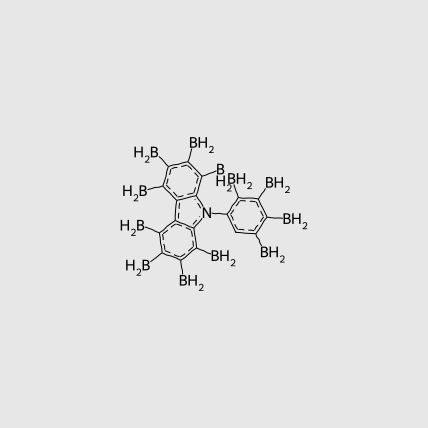 Bc1cc(-n2c3c(B)c(B)c(B)c(B)c3c3c(B)c(B)c(B)c(B)c32)c(B)c(B)c1B